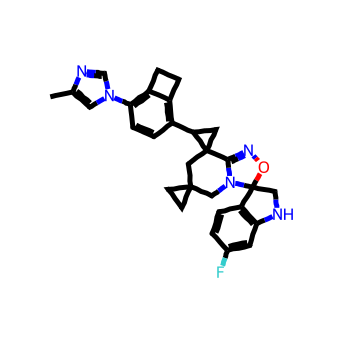 Cc1cn(-c2ccc(C3CC34CC3(CC3)CN3C4=NOC34CNc3cc(F)ccc34)c3c2CC3)cn1